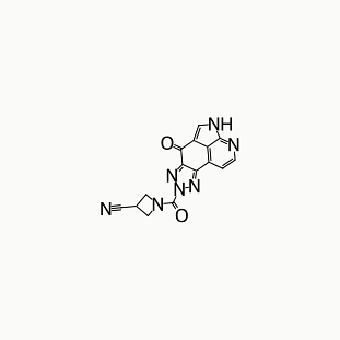 N#CC1CN(C(=O)n2nc3c(n2)-c2ccnc4[nH]cc(c24)C3=O)C1